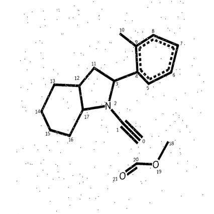 C#CN1C(c2ccccc2C)CC2CCCCC21.COC=O